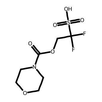 O=C(OCC(F)(F)S(=O)(=O)O)N1CCOCC1